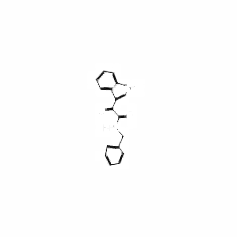 O=C(NCc1ccccc1)C(=O)c1c[nH]c2ccccc12